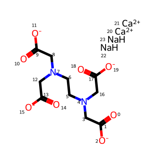 O=C([O-])CN(CCN(CC(=O)[O-])CC(=O)[O-])CC(=O)[O-].[Ca+2].[Ca+2].[NaH].[NaH]